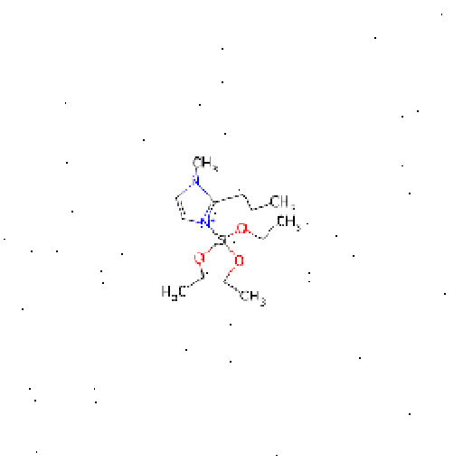 CCCc1n(C)cc[n+]1[Si](OCC)(OCC)OCC